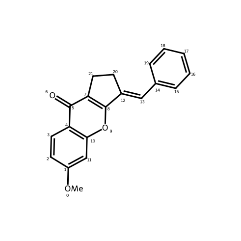 COc1ccc2c(=O)c3c(oc2c1)/C(=C/c1ccccc1)CC3